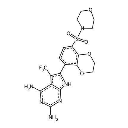 Nc1nc(N)c2c(C(F)(F)F)c(-c3ccc(S(=O)(=O)N4CCOCC4)c4c3OCCO4)[nH]c2n1